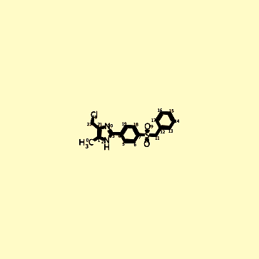 Cc1[nH]c(-c2ccc(S(=O)(=O)Cc3ccccc3)cc2)nc1CCl